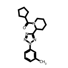 Cc1cccc(-n2nnc(C3CCCCN3C(=O)C3CCCC3)n2)c1